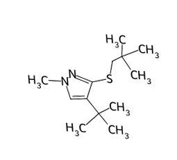 Cn1cc(C(C)(C)C)c(SCC(C)(C)C)n1